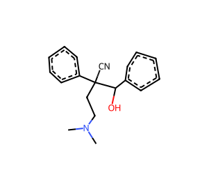 CN(C)CCC(C#N)(c1ccccc1)C(O)c1ccccc1